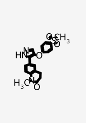 CN1C(=O)CCc2cc(-c3[nH]ncc3Oc3ccc(S(C)(=O)=O)cc3)ccc21